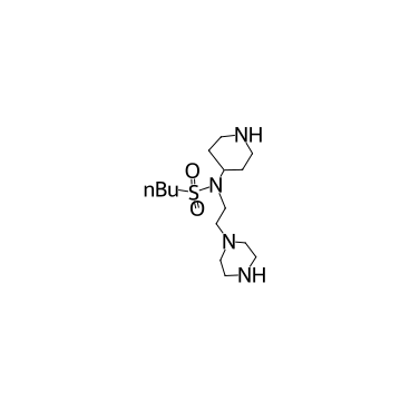 CCCCS(=O)(=O)N(CCN1CCNCC1)C1CCNCC1